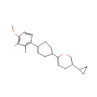 CCOc1ccc(C2CCC(C3CCC(C4CC4)CO3)CC2)c(F)c1F